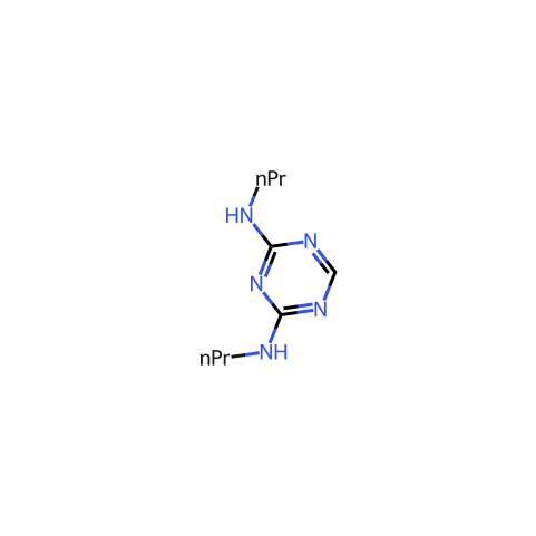 CCCNc1ncnc(NCCC)n1